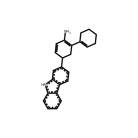 NC1=C(C2=CCCCC2)CC(c2ccc3c(c2)[nH]c2ccccc23)C=C1